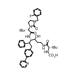 CC(C)(C)[C@H](NC(=O)O)C(=O)NCC[C@H](O)[C@@H](NC(=O)[C@@H](N1CCN(Cc2ccccc2F)C1=O)C(C)(C)C)C(Cc1ccc(-c2ccccn2)cc1)c1ccccc1